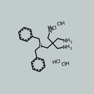 Cl.Cl.Cl.Cl.NCC(CN)(CN)CN(Cc1ccccc1)Cc1ccccc1